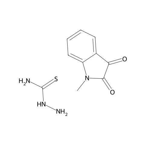 CN1C(=O)C(=O)c2ccccc21.NNC(N)=S